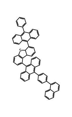 C1=CC2c3c(cccc3-c3c4ccccc4c(-c4ccc(-c5cccc6ccccc56)cc4)c4ccccc34)SC2C(c2c3ccccc3c(-c3ccccc3)c3ccccc23)=C1